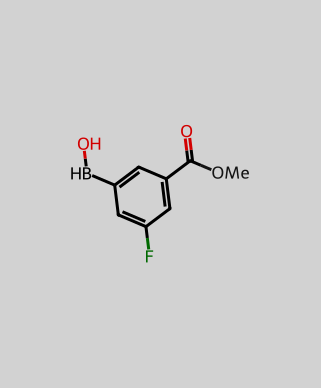 COC(=O)c1cc(F)cc(BO)c1